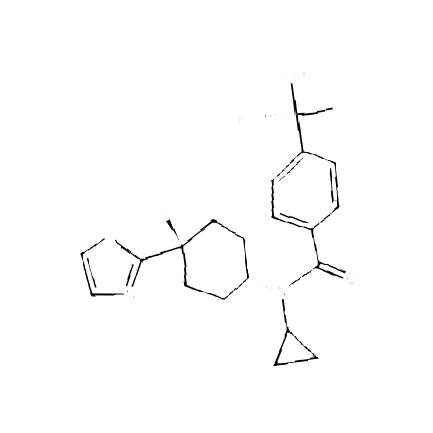 C[C@](O)(c1ccc(C(=O)N(C2CC2)[C@H]2CC[C@@](O)(c3nccs3)CC2)cc1)C(F)(F)F